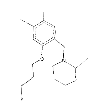 Cc1cc(CN2CCCCC2C)c(OCCCF)cc1C